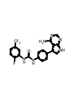 Nc1ncnc2[nH]cc(-c3ccc(NC(=O)Nc4cc(C(F)(F)F)ccc4F)cc3)c12